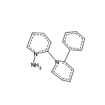 N[n+]1ccccc1-[n+]1ccccc1-c1ccccc1